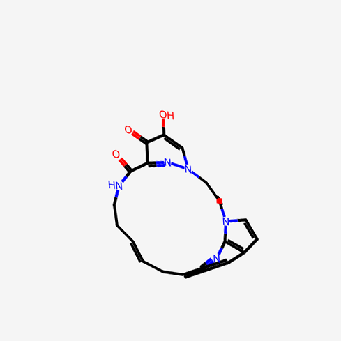 O=C1NCC/C=C/Cc2cnc3c(ccn3C3(CCCC3)Cn3cc(O)c(=O)c1n3)c2